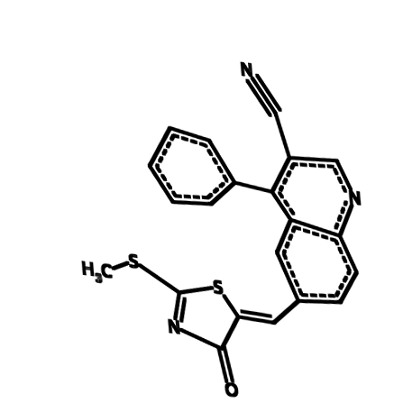 CSC1=NC(=O)C(=Cc2ccc3ncc(C#N)c(-c4ccccc4)c3c2)S1